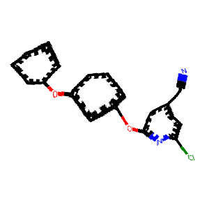 N#Cc1cc(Cl)nc(Oc2cccc(Oc3ccccc3)c2)c1